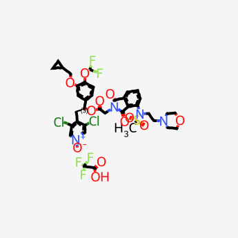 CS(=O)(=O)N(CCN1CCOCC1)c1cccc2c1C(=O)N(CC(=O)O[C@@H](Cc1c(Cl)c[n+]([O-])cc1Cl)c1ccc(OC(F)F)c(OCC3CC3)c1)C2=O.O=C(O)C(F)(F)F